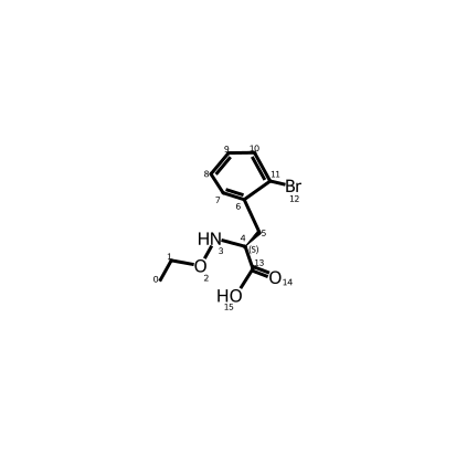 CCON[C@@H](Cc1ccccc1Br)C(=O)O